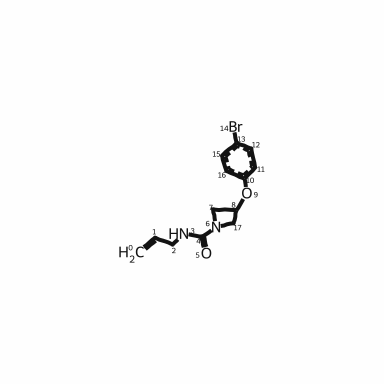 C=CCNC(=O)N1CC(Oc2ccc(Br)cc2)C1